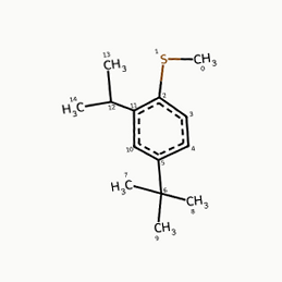 CSc1ccc(C(C)(C)C)cc1C(C)C